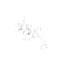 Cc1cc(OCCc2ccccc2)cc(C)c1C(=O)Nc1cc(C2CC2)c(Cl)c(Cl)c1F